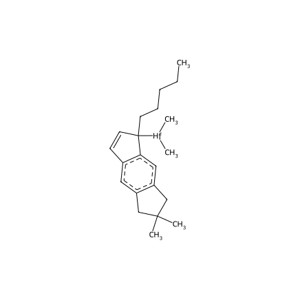 CCCCC[C]1([Hf]([CH3])[CH3])C=Cc2cc3c(cc21)CC(C)(C)C3